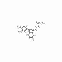 O=C(O)CCCc1cn(-c2ccc(Cl)c(Cl)c2)c2ccc(I)cc12